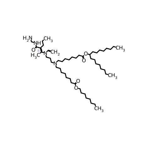 C=CN(CCCN(CCCCCCCC(=O)OCCCCCCCC)CCCCCCCC(=O)OC(CCCCCCCC)CCCCCCCC)/C(C)=C(\CCC)C(=O)NCN